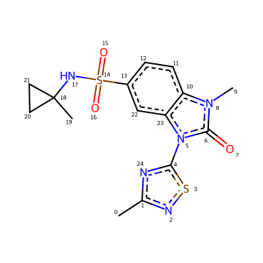 Cc1nsc(-n2c(=O)n(C)c3ccc(S(=O)(=O)NC4(C)CC4)cc32)n1